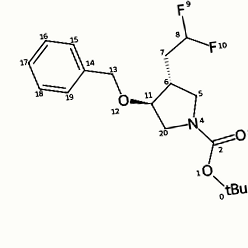 CC(C)(C)OC(=O)N1C[C@@H](CC(F)F)[C@H](OCc2ccccc2)C1